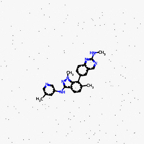 CNc1ncc2cc(-c3c(C)ccc4c(Nc5cncc(C)c5)nn(C)c34)ccc2n1